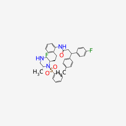 Cc1ccc(C(CC(=O)Nc2cccc(F)c2CC[C@@H]2CNC[C@@H](C)N2S(=O)(=O)c2ccccc2)c2ccc(F)cc2)cc1